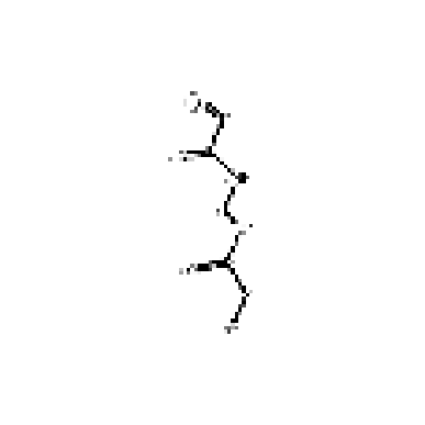 C=CC(=O)NCOC(=O)CC